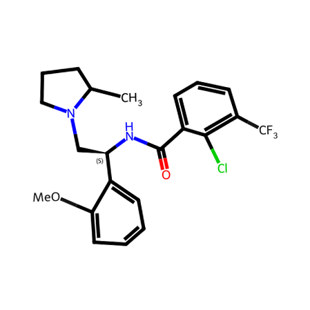 COc1ccccc1[C@@H](CN1CCCC1C)NC(=O)c1cccc(C(F)(F)F)c1Cl